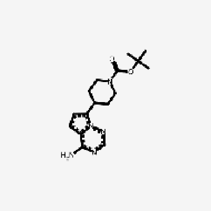 CC(C)(C)OC(=O)N1CCC(c2ccc3c(N)ncnn23)CC1